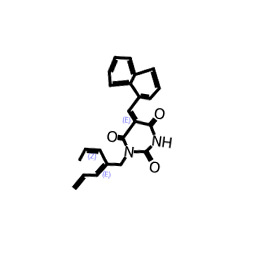 C=C/C=C(\C=C/C)CN1C(=O)NC(=O)/C(=C\c2cccc3ccccc23)C1=O